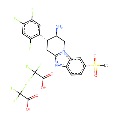 CCS(=O)(=O)c1ccc2nc3n(c2c1)C[C@H](N)[C@@H](c1cc(F)c(F)cc1F)C3.O=C(O)C(F)(F)F.O=C(O)C(F)(F)F